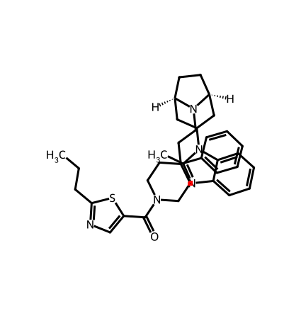 CCCc1ncc(C(=O)N2CCC(CCN3[C@@H]4CC[C@H]3CC(n3c(C)nc5ccccc53)C4)(c3ccccc3)CC2)s1